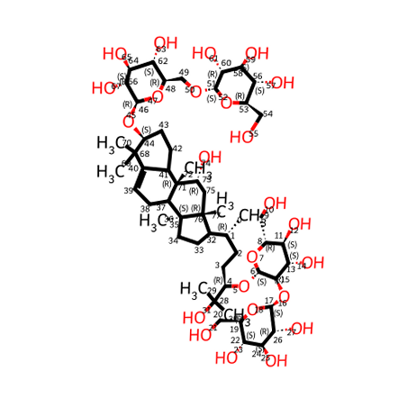 C[C@H](CC[C@@H](O[C@@H]1O[C@H](CO)[C@@H](O)[C@H](O)[C@H]1O[C@@H]1O[C@H](CO)[C@@H](O)[C@H](O)[C@H]1O)C(C)(C)O)C1CC[C@@]2(C)C3CC=C4C(CC[C@H](O[C@@H]5O[C@H](CO[C@H]6O[C@H](CO)[C@@H](O)[C@H](O)[C@H]6O)[C@@H](O)[C@H](O)[C@H]5O)C4(C)C)[C@]3(C)[C@H](O)C[C@]12C